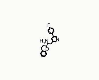 NC(Cc1cncc(-c2ccc(F)cc2)c1)[C@@H]1CCc2ccccc2O1